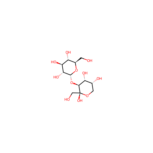 OC[C@H]1O[C@H](O[C@H]2[C@H](O)[C@H](O)CO[C@]2(O)CO)[C@H](O)[C@@H](O)[C@@H]1O